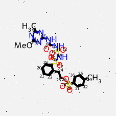 COc1nc(C)nc(NC(=O)NS(=O)(=O)NS(=O)(=O)c2ccccc2CCOS(=O)(=O)c2ccc(C)cc2)n1